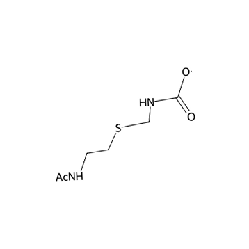 CC(=O)NCCSCNC([O])=O